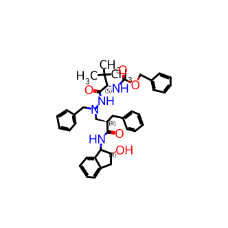 CC(C)(C)[C@H](NC(=O)OCc1ccccc1)C(=O)NN(Cc1ccccc1)C[C@@H](Cc1ccccc1)C(=O)NC1c2ccccc2C[C@H]1O